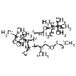 CSCOC/C(C)=C1/C(=O)N([Si](C)(C)C(C)(C)C)C1CCO[Si](C)(C)C(C)(C)C